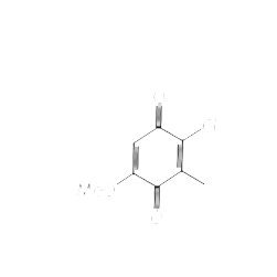 COC1=CC(=O)C(Cl)=C(C)C1=O